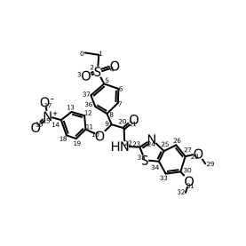 CCS(=O)(=O)c1ccc(C(Oc2ccc([N+](=O)[O-])cc2)C(=O)Nc2nc3cc(OC)c(OC)cc3s2)cc1